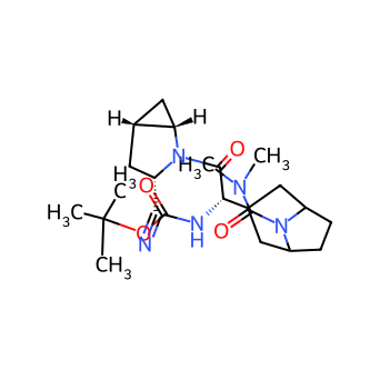 CN(C)C(=O)N1C2CCC1CC([C@H](NC(=O)OC(C)(C)C)C(=O)N1[C@H](C#N)C[C@@H]3C[C@@H]31)C2